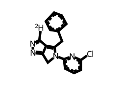 [2H]C1=NN=C2CN(c3cccc(Cl)n3)C(Cc3ccccc3)=C12